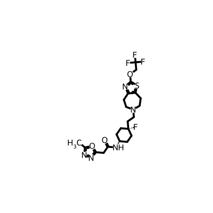 Cc1nnc(CC(=O)N[C@H]2CC[C@](F)(CCN3CCc4nc(OCC(F)(F)F)sc4CC3)CC2)o1